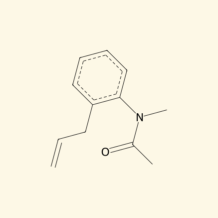 C=CCc1ccccc1N(C)C(C)=O